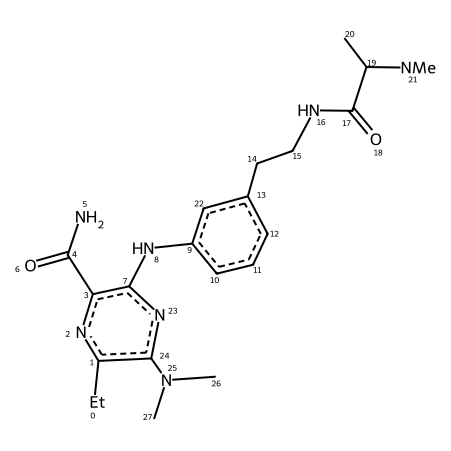 CCc1nc(C(N)=O)c(Nc2cccc(CCNC(=O)C(C)NC)c2)nc1N(C)C